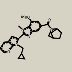 COc1cc(C(=O)N2CC3CCC2C3)cc2nc(-c3cc4cccnc4n3CC3CC3)n(C)c12